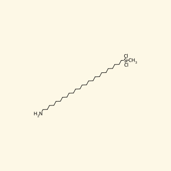 C[Si](Cl)(Cl)CCCCCCCCCCCCCCCCCCCCCCCCCN